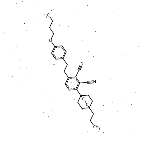 CCCCOc1ccc(CCc2ccc(C34CCC(CCC)(CC3)CC4)c(C#N)c2C#N)cc1